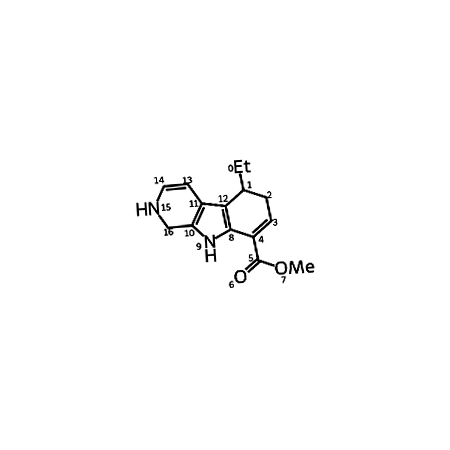 CCC1CC=C(C(=O)OC)c2[nH]c3c(c21)C=CNC3